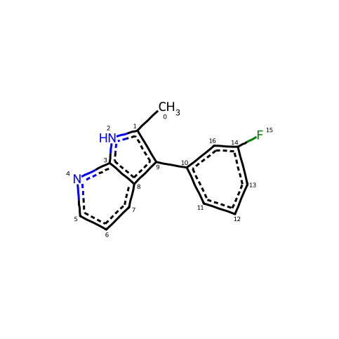 Cc1[nH]c2ncccc2c1-c1cccc(F)c1